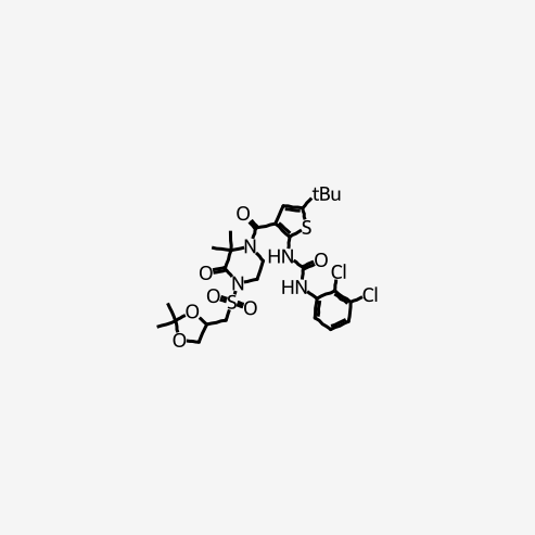 CC1(C)OCC(CS(=O)(=O)N2CCN(C(=O)c3cc(C(C)(C)C)sc3NC(=O)Nc3cccc(Cl)c3Cl)C(C)(C)C2=O)O1